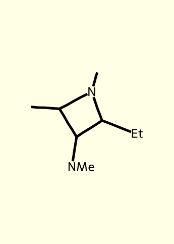 CCC1C(NC)C(C)N1C